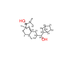 CC1CCC(C)([C@H](O)C(C)C)C=C1CC(C)C(O)C1CC2CCC1C2